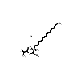 C=C(C)C(=O)OC(C)[N+](C)(C)CCCCCCCCCCCC.[Br-]